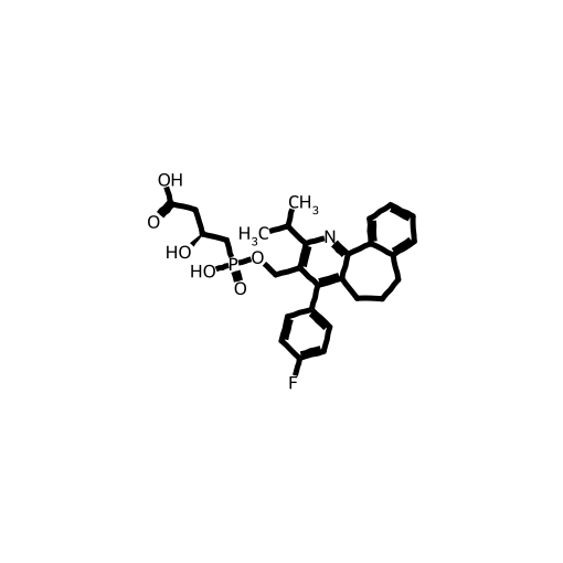 CC(C)c1nc2c(c(-c3ccc(F)cc3)c1COP(=O)(O)C[C@@H](O)CC(=O)O)CCCc1ccccc1-2